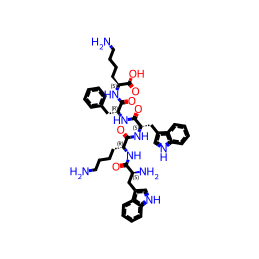 NCCCC[C@H](NC(=O)[C@@H](Cc1ccccc1)NC(=O)[C@H](Cc1c[nH]c2ccccc12)NC(=O)[C@@H](CCCCN)NC(=O)[C@@H](N)Cc1c[nH]c2ccccc12)C(=O)O